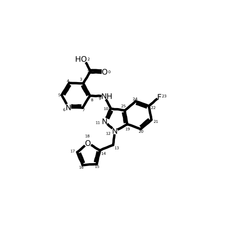 O=C(O)c1ccncc1Nc1nn(Cc2ccco2)c2ccc(F)cc12